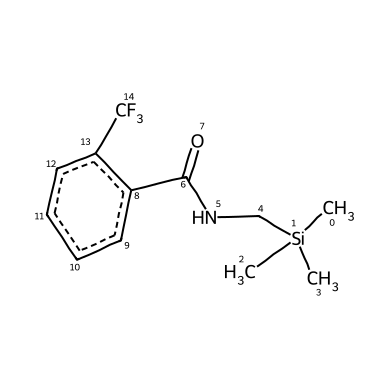 C[Si](C)(C)CNC(=O)c1ccccc1C(F)(F)F